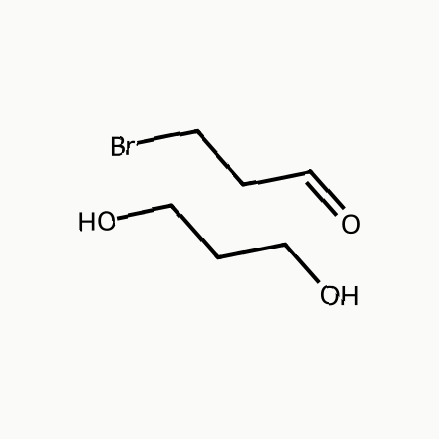 O=CCCBr.OCCCO